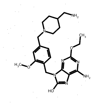 CCOc1nc(N)c2nc(O)n(Cc3ccc(CN4CCC(CN)CC4)cc3OC)c2n1